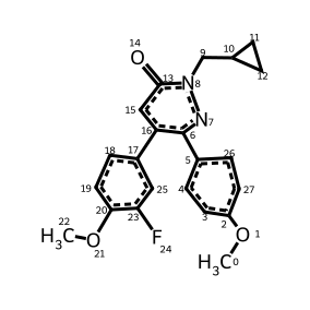 COc1ccc(-c2nn(CC3CC3)c(=O)cc2-c2ccc(OC)c(F)c2)cc1